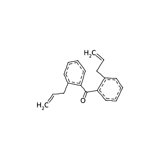 C=CCc1ccccc1C(=O)c1ccccc1CC=C